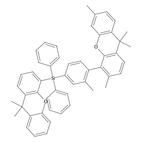 Cc1ccc2c(c1)Oc1c(ccc(C)c1-c1ccc([Si](c3ccccc3)(c3ccccc3)c3cccc4c3Oc3ccccc3C4(C)C)cc1C)C2(C)C